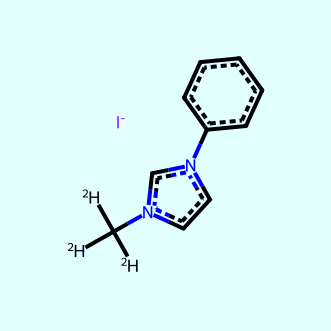 [2H]C([2H])([2H])[n+]1ccn(-c2ccccc2)c1.[I-]